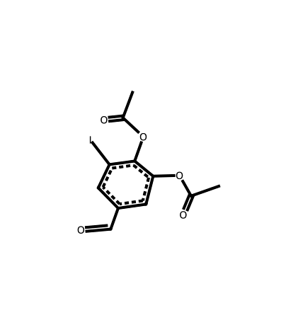 CC(=O)Oc1cc(C=O)cc(I)c1OC(C)=O